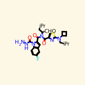 CC(C)C[C@@H]([C]=O)N(C(=O)c1csc(N(CC(C)C)C2CCC2)n1)C(=O)c1cc2cc(F)ccc2n1C(=O)NN